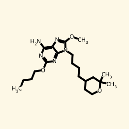 CCCCOc1nc(N)c2nc(OC)n(CCCCC3CCOC(C)(C)C3)c2n1